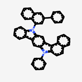 c1ccc(-c2cc(-n3c4ccccc4c4cc5c(cc43)c3c4ccccc4ccc3n5-c3ccccc3)c3ccccc3c2)cc1